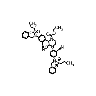 CCCS(=O)(=O)N(Cc1ccccc1)c1ccc(C2C(=O)N(c3ccc(N(Cc4ccccc4)S(=O)(=O)CCC)cc3C#N)CCN2C(=O)OCC)c(C#N)c1